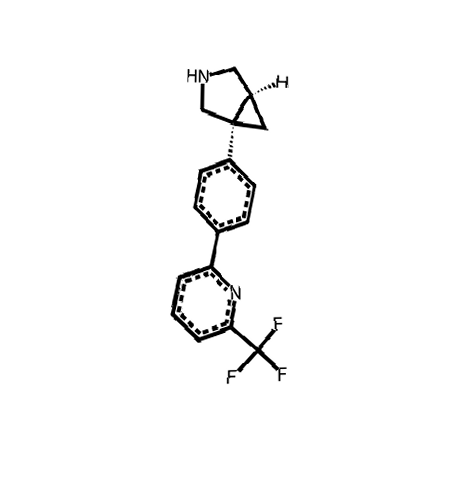 FC(F)(F)c1cccc(-c2ccc([C@]34CNC[C@H]3C4)cc2)n1